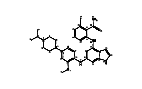 COc1cc(N2CCN(C(C)C)CC2)ccc1Nc1cc(Nc2cccc(F)c2C(N)=O)c2cc[nH]c2n1